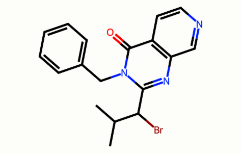 CC(C)C(Br)c1nc2cnccc2c(=O)n1Cc1ccccc1